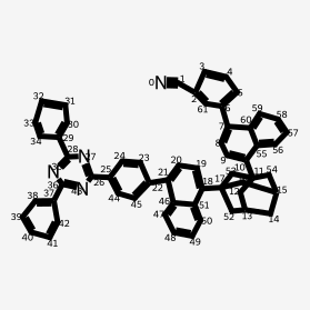 N#Cc1cccc(-c2ccc(C34CC5CC(CC(c6ccc(-c7ccc(-c8nc(-c9ccccc9)nc(-c9ccccc9)n8)cc7)c7ccccc67)(C5)C3)C4)c3ccccc23)c1